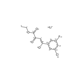 CCOC(=O)C(=O)C=C([O-])c1cc(F)cc(Cl)c1.[Li+]